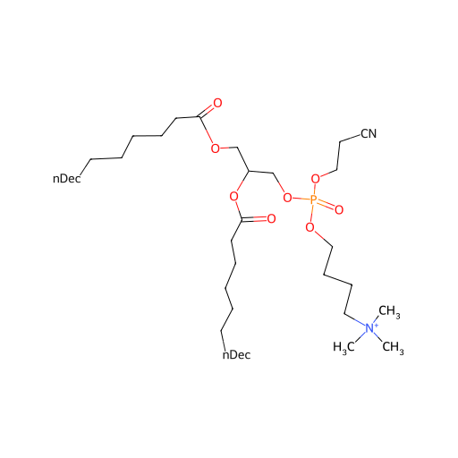 CCCCCCCCCCCCCCCC(=O)OCC(COP(=O)(OCCC#N)OCCCC[N+](C)(C)C)OC(=O)CCCCCCCCCCCCCCC